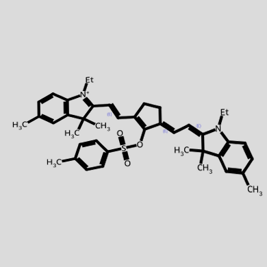 CCN1/C(=C/C=C2\CCC(/C=C/C3=[N+](CC)c4ccc(C)cc4C3(C)C)=C2OS(=O)(=O)c2ccc(C)cc2)C(C)(C)c2cc(C)ccc21